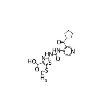 CSc1sc(NC(=O)Nc2ccncc2C(=O)C2CCCC2)nc1C(=O)O